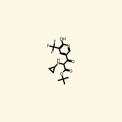 CC(C)(C)OC(=O)C(NC1CC1)C(=O)c1cnc(O)c(C(F)(F)F)c1